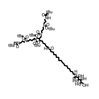 CC(C)(C)OC(=O)NCCCN(CCCCN(CC(CCCCCCNC(=O)CCCCCCCCCCCCCCCCCNC(=O)[C@@H](O)[C@H](O)[C@@H](O)[C@H](O)CO)CN(CCCCN(CCCNC(=O)OC(C)(C)C)C(=O)OC(C)(C)C)C(=O)OC(C)(C)C)C(=O)OC(C)(C)C)C(=O)OC(C)(C)C